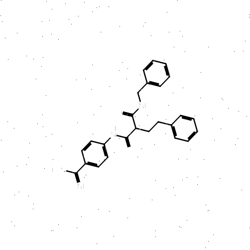 N=C(N)c1ccc(NC(=O)C(CCc2ccccc2)C(=O)NCc2ccccc2)cc1